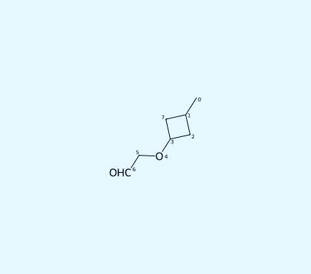 CC1CC(OCC=O)C1